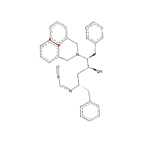 O=B/C=N\[C@@H](Cc1ccccc1)C[C@H](O)[C@H](Cc1ccccc1)N(Cc1ccccc1)Cc1ccccc1